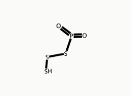 O=P(=O)SSS